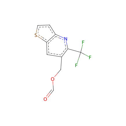 O=COCc1cc2sccc2nc1C(F)(F)F